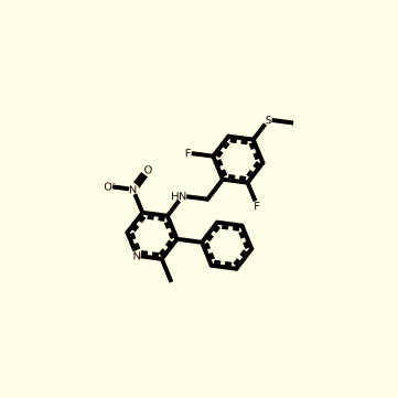 CSc1cc(F)c(CNc2c([N+](=O)[O-])cnc(C)c2-c2ccccc2)c(F)c1